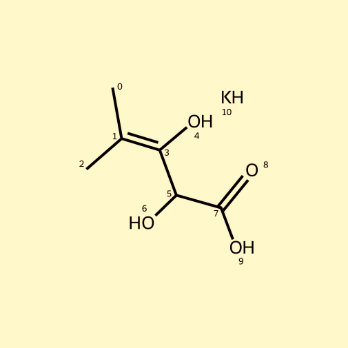 CC(C)=C(O)C(O)C(=O)O.[KH]